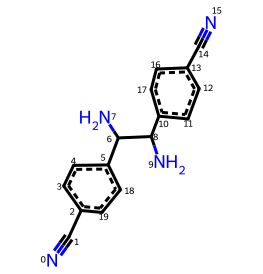 N#Cc1ccc(C(N)C(N)c2ccc(C#N)cc2)cc1